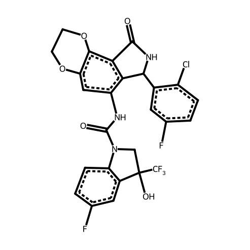 O=C1NC(c2cc(F)ccc2Cl)c2c(NC(=O)N3CC(O)(C(F)(F)F)c4cc(F)ccc43)cc3c(c21)OCCO3